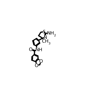 CC1(c2cccc(NC(=O)c3ccc4c(c3)OCO4)c2)CCSC(N)=N1